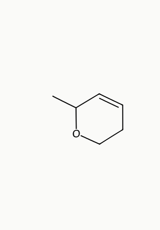 CC1C=CCCO1